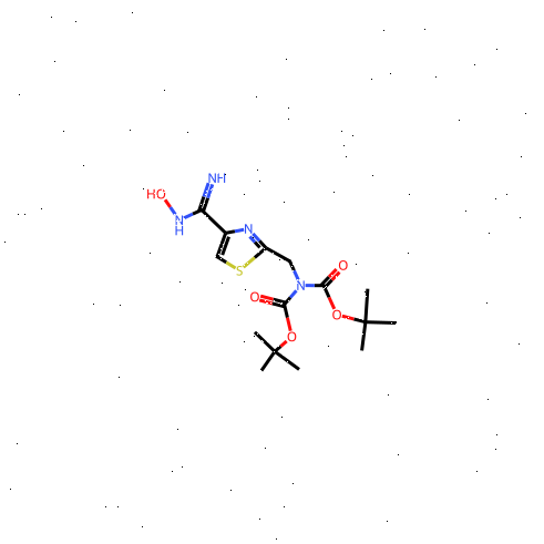 CC(C)(C)OC(=O)N(Cc1nc(C(=N)NO)cs1)C(=O)OC(C)(C)C